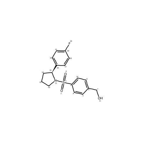 O=S(=O)(c1ccc(CO)cc1)N1CCC[C@H]1c1ccc(F)cc1